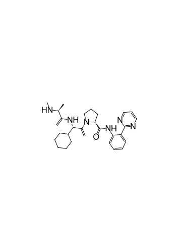 C=C(N[C@H](C(=C)N1CCC[C@H]1C(=O)Nc1ccccc1-c1ncccn1)C1CCCCC1)[C@H](C)NC